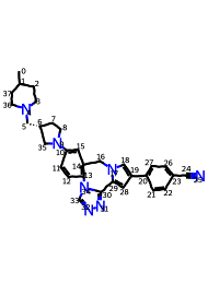 CC1CCN(C[C@@H]2CCN(c3ccc4c(c3)Cn3cc(-c5ccc(C#N)cc5)cc3-c3nncn3-4)C2)CC1